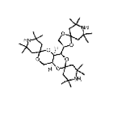 CC1(C)CC2(CC(C)(C)N1)OC[C@@H]1OC3(CC(C)(C)NC(C)(C)C3)O[C@H]([C@H]3COC4(CC(C)(C)NC(C)(C)C4)O3)[C@@H]1O2